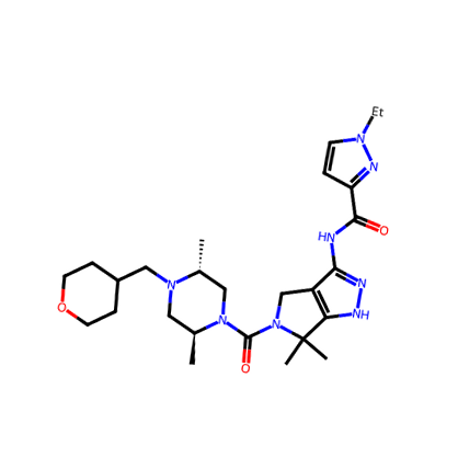 CCn1ccc(C(=O)Nc2n[nH]c3c2CN(C(=O)N2C[C@@H](C)N(CC4CCOCC4)C[C@@H]2C)C3(C)C)n1